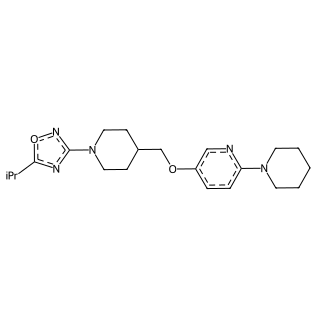 CC(C)c1nc(N2CCC(COc3ccc(N4CCCCC4)nc3)CC2)no1